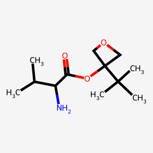 CC(C)C(N)C(=O)OC1(C(C)(C)C)COC1